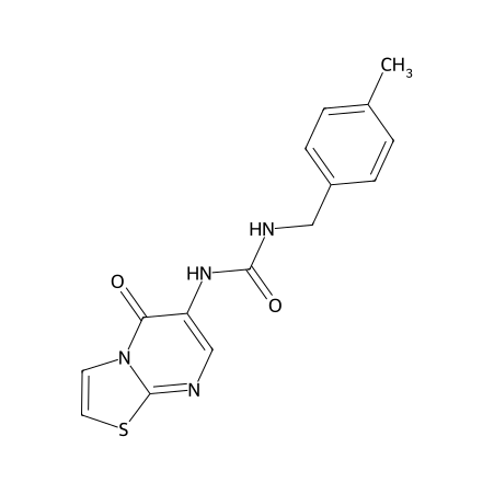 Cc1ccc(CNC(=O)Nc2cnc3sccn3c2=O)cc1